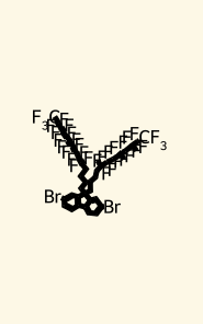 FC(F)(F)C(F)(F)C(F)(F)C(F)(F)C(F)(F)C(F)(F)C(F)(F)C(F)(F)CCCCC1(CCCCC(F)(F)C(F)(F)C(F)(F)C(F)(F)C(F)(F)C(F)(F)C(F)(F)C(F)(F)F)c2cc(Br)ccc2-c2ccc(Br)cc21